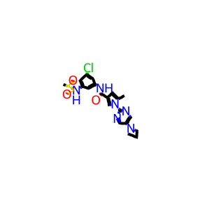 Cc1cc(C(=O)Nc2cc(Cl)cc(NS(C)(=O)=O)c2)cn1-c1ncc(N2CCC2)cn1